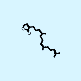 CC(C)=CCCC(C)=CCCC(C)=CCCC1=CCOC1=O